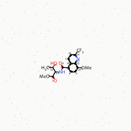 COC(=O)C(NC(=O)c1ccc(OC)c2nc(C(F)(F)F)ccc12)C(C)O